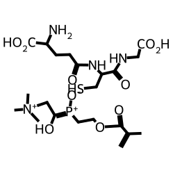 C=C(C)C(=O)OCC/[P+]([O-])=C(\O)C[N+](C)(C)C.NC(CCC(=O)NC(CS)C(=O)NCC(=O)O)C(=O)O